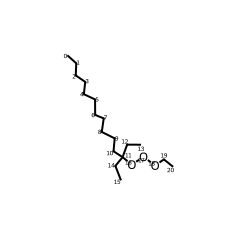 CCCCCCCCCCCC(CC)(CC)OOOCC